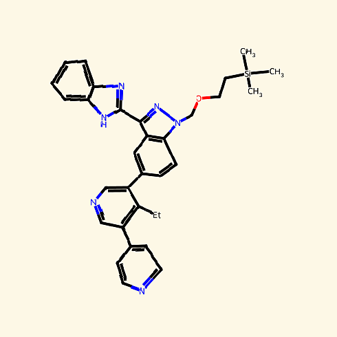 CCc1c(-c2ccncc2)cncc1-c1ccc2c(c1)c(-c1nc3ccccc3[nH]1)nn2COCC[Si](C)(C)C